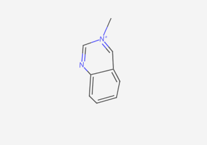 C[n+]1cnc2ccccc2c1